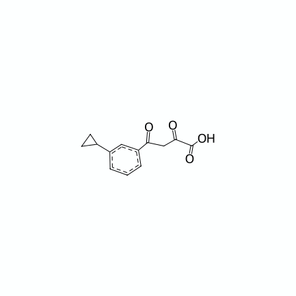 O=C(O)C(=O)CC(=O)c1cccc(C2CC2)c1